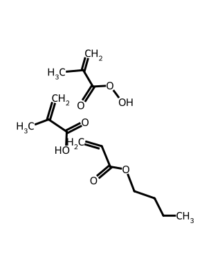 C=C(C)C(=O)O.C=C(C)C(=O)OO.C=CC(=O)OCCCC